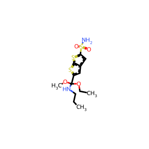 CCCNC(OC)(OCC)c1cc2cc(S(N)(=O)=O)sc2s1